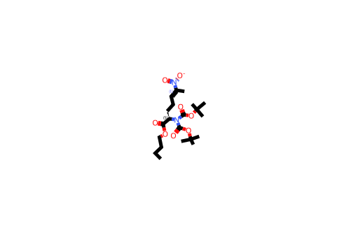 CCCCOC(=O)[C@H](CC/C=C(\C)[N+](=O)[O-])N(C(=O)OC(C)(C)C)C(=O)OC(C)(C)C